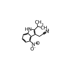 CC(C)c1[nH]c2cccc([N+](=O)[O-])c2c1CC#N